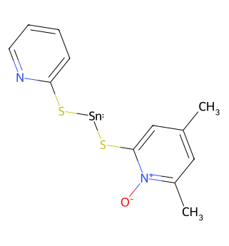 Cc1cc(C)[n+]([O-])c([S][Sn][S]c2ccccn2)c1